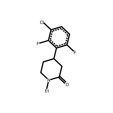 CCN1CCC(c2c(F)ccc(Cl)c2F)CC1=O